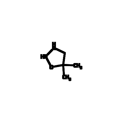 CC1(C)CNNO1